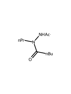 CCCCC(=O)N(CCC)[N]C(C)=O